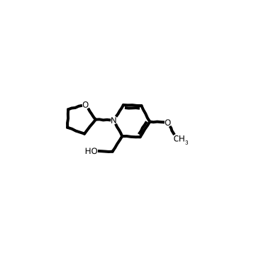 COC1=CC(CO)N(C2CCCO2)C=C1